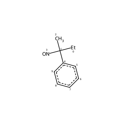 CCC(C)(N=O)c1ccccc1